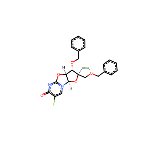 O=c1nc2n(cc1F)[C@@H]1O[C@](CCl)(COCc3ccccc3)[C@@H](OCc3ccccc3)[C@@H]1O2